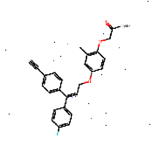 C#Cc1ccc(/C(=C\COc2ccc(OCC(=O)OC)c(C)c2)c2ccc(F)cc2)cc1